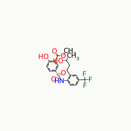 COC(=O)c1cc(S(=O)(=O)Nc2ccc(C(F)(F)F)cc2CCC(C)O)ccc1O